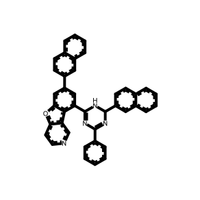 c1ccc(C2=NC(c3ccc4ccccc4c3)NC(c3cc(-c4ccc5ccccc5c4)cc4oc5ccncc5c34)=N2)cc1